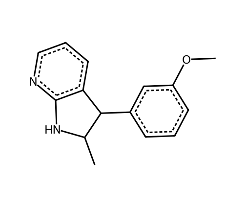 COc1cccc(C2c3cccnc3NC2C)c1